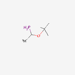 [3H]C(P)OC(C)(C)C